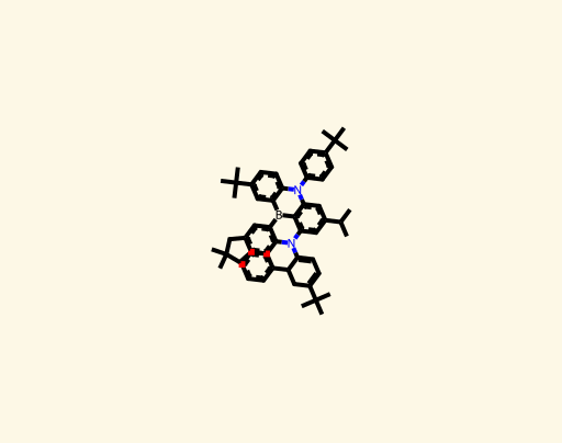 CC(C)c1cc2c3c(c1)N(c1ccc(C(C)(C)C)cc1)c1ccc(C(C)(C)C)cc1B3c1cc3c(cc1N2C1=CC=C(C(C)(C)C)CC1c1ccccc1)CC(C)(C)C3